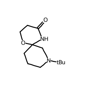 CC(C)(C)N1CCCC2(C1)NC(=O)CCO2